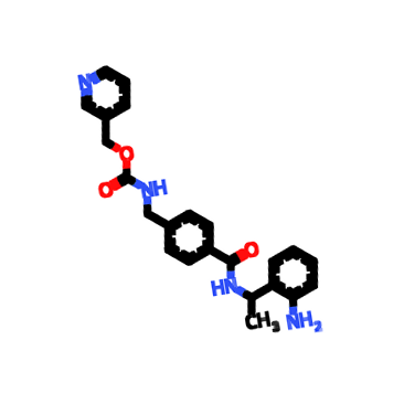 CC(NC(=O)c1ccc(CNC(=O)OCc2cccnc2)cc1)c1ccccc1N